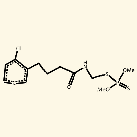 COP(=S)(OC)SCNC(=O)CCCc1ccccc1Cl